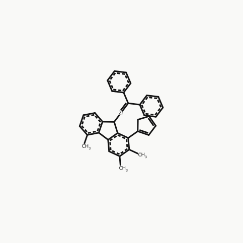 Cc1cc2c(c(C3=CC=CC3)c1C)[CH]([Zr]=[C](c1ccccc1)c1ccccc1)c1cccc(C)c1-2